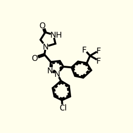 O=C1CN(C(=O)c2cc(-c3cccc(C(F)(F)F)c3)n(-c3ccc(Cl)cc3)n2)CN1